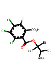 CCCCC(C(C)CC)C(CC)(OC(=O)c1c(Cl)c(Cl)c(Cl)c(Cl)c1C(=O)O)C(C)CC